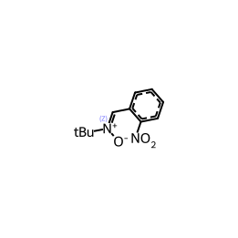 CC(C)(C)/[N+]([O-])=C/c1ccccc1[N+](=O)[O-]